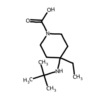 CCC1(NC(C)(C)C)CCN(C(=O)O)CC1